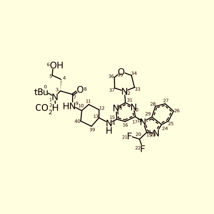 CC(C)(C)N(C(=O)O)[C@H](CCO)C(=O)NC1CCC(Nc2cc(-n3c(C(F)F)nc4ccccc43)nc(N3CCOCC3)n2)CC1